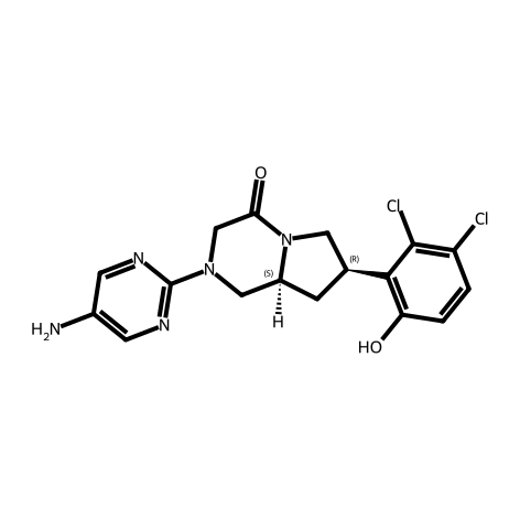 Nc1cnc(N2CC(=O)N3C[C@@H](c4c(O)ccc(Cl)c4Cl)C[C@H]3C2)nc1